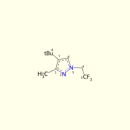 Cc1nn(CC(F)(F)F)cc1C(C)(C)C